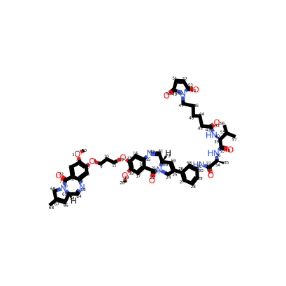 COc1cc2c(cc1OCCCOc1cc3c(cc1OC)C(=O)N1CC(c4cccc(NC(=O)[C@H](C)NC(=O)[C@@H](NC(=O)CCCCCN5C(=O)C=CC5=O)C(C)C)c4)=C[C@H]1C=N3)N=C[C@@H]1C=C(C)CN1C2=O